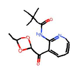 CC1OC(C(=O)c2cccnc2NC(=O)C(C)(C)C)O1